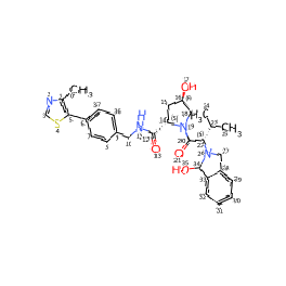 Cc1ncsc1-c1ccc(CNC(=O)[C@@H]2C[C@@H](O)CN2C(=O)[C@H](C(C)C)N2Cc3ccccc3C2O)cc1